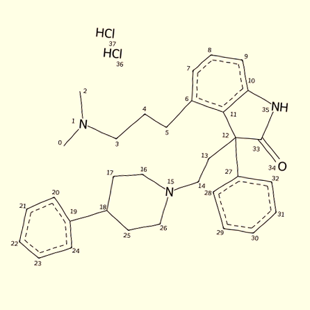 CN(C)CCCc1cccc2c1C(CCN1CCC(c3ccccc3)CC1)(c1ccccc1)C(=O)N2.Cl.Cl